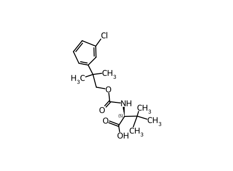 CC(C)(COC(=O)N[C@H](C(=O)O)C(C)(C)C)c1cccc(Cl)c1